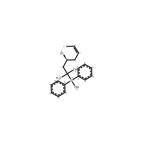 CC[C@@H](C/C=C\I)CC(C)(C)[Si](O)(c1ccccc1)c1ccccc1